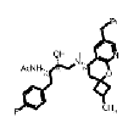 CC(=O)N[C@@H](Cc1ccc(F)cc1)[C@H](O)CN[C@H]1CC2(CC(C)C2)Oc2ncc(CC(C)C)cc21